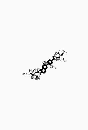 CCCC(=O)N(CC(C)C)[C@@H](C)c1ncc(-c2ccc(-c3cc4ccc5nc([C@H](C)N(C(=O)CCC)[C@H](CC)COC)[nH]c5c4cc3OC)c(C)c2)[nH]1